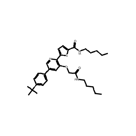 CCCCCNC(=O)COc1cc(-c2ccc(C(C)(C)C)cc2)cnc1-c1ccc(C(=O)NCCCCC)s1